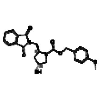 COc1ccc(COC(=O)N2C[C@H](O)C[C@H]2CN2C(=O)c3ccccc3C2=O)cc1